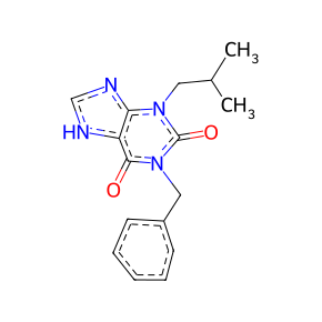 CC(C)Cn1c(=O)n(Cc2ccccc2)c(=O)c2[nH]cnc21